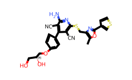 Cc1oc(-c2ccsc2)nc1CSc1nc(N)c(C#N)c(-c2ccc(OC[C@H](O)CO)cc2)c1C#N